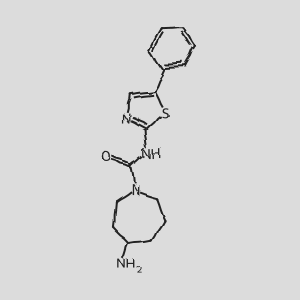 NC1CCCN(C(=O)Nc2ncc(-c3ccccc3)s2)CC1